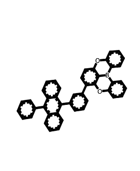 c1ccc(-c2c3ccccc3c(-c3cccc(-c4ccc5c6c4Oc4ccccc4B6c4ccccc4O5)c3)c3ccccc23)cc1